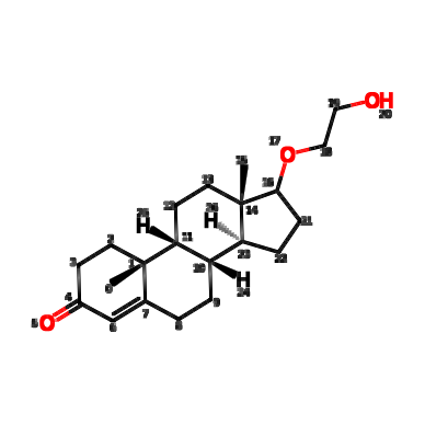 C[C@]12CCC(=O)C=C1CC[C@@H]1[C@H]2CC[C@]2(C)C(OCCO)CC[C@@H]12